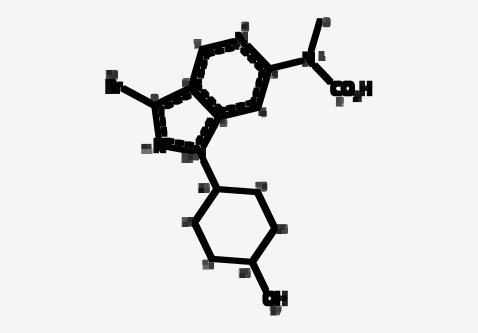 CN(C(=O)O)c1cc2c(cn1)c(Br)nn2C1CCC(O)CC1